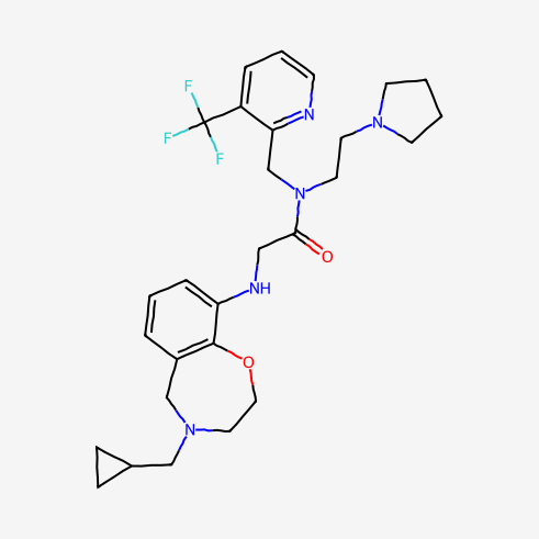 O=C(CNc1cccc2c1OCCN(CC1CC1)C2)N(CCN1CCCC1)Cc1ncccc1C(F)(F)F